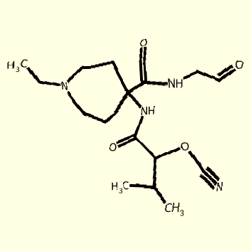 CCN1CCC(NC(=O)C(OC#N)C(C)C)(C(=O)NCC=O)CC1